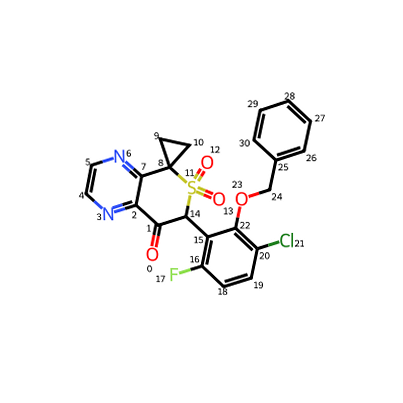 O=C1c2nccnc2C2(CC2)S(=O)(=O)C1c1c(F)ccc(Cl)c1OCc1ccccc1